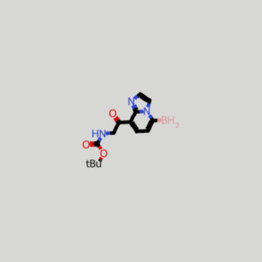 Bc1ccc(C(=O)CNC(=O)OC(C)(C)C)c2nccn12